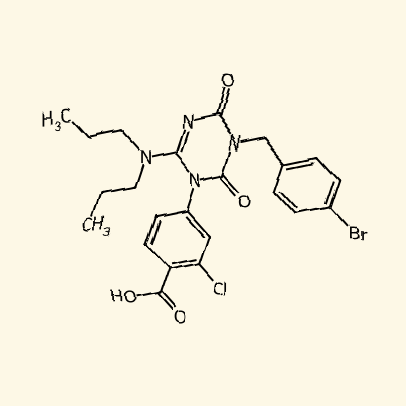 CCCN(CCC)c1nc(=O)n(Cc2ccc(Br)cc2)c(=O)n1-c1ccc(C(=O)O)c(Cl)c1